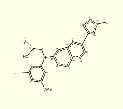 COc1cc(F)cc(N(C[C@H](O)C(F)(F)F)c2ccc3ncc(-c4cnn(C)c4)nc3c2)c1